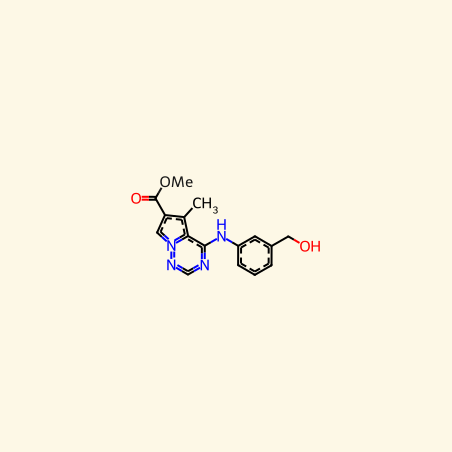 COC(=O)c1cn2ncnc(Nc3cccc(CO)c3)c2c1C